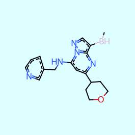 CBc1cnn2c(NCc3cccnc3)cc(C3CCOCC3)nc12